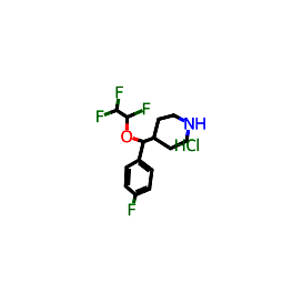 Cl.Fc1ccc(C(OC(F)C(F)F)C2CCNCC2)cc1